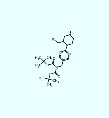 CC(C)(C)OC(=O)N(Cc1cnc(N2CCNCC2CO)nc1)C(=O)OC(C)(C)C